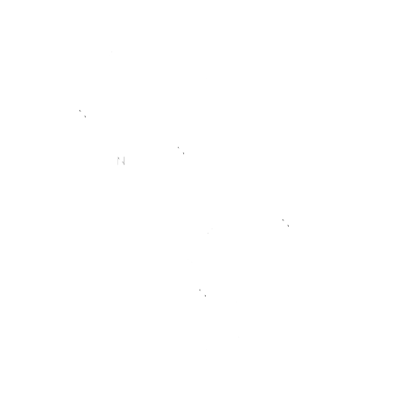 CC(=O)N1CCCC1CCN(C)CC1CCN(c2ncnc3scc(-c4ccccc4)c23)CC1